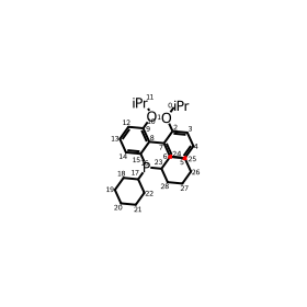 CC(C)Oc1ccccc1-c1c(OC(C)C)cccc1P(C1CCCCC1)C1CCCCC1